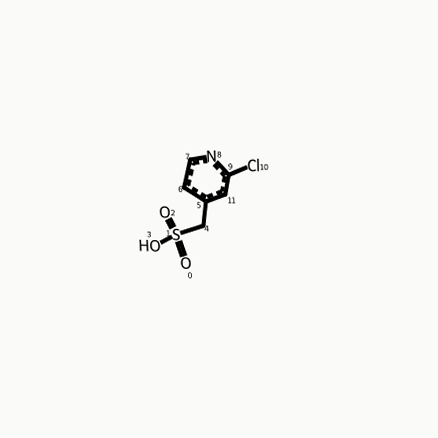 O=S(=O)(O)Cc1ccnc(Cl)c1